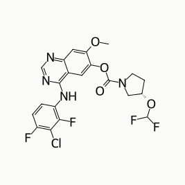 COc1cc2ncnc(Nc3ccc(F)c(Cl)c3F)c2cc1OC(=O)N1CC[C@H](OC(F)F)C1